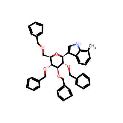 Cc1cccc2c([C@@H]3O[C@H](COCc4ccccc4)[C@@H](OCc4ccccc4)[C@H](OCc4ccccc4)[C@H]3OCc3ccccc3)c[nH]c12